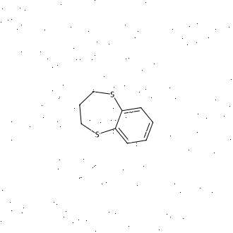 [CH]1CCSc2ccccc2S1